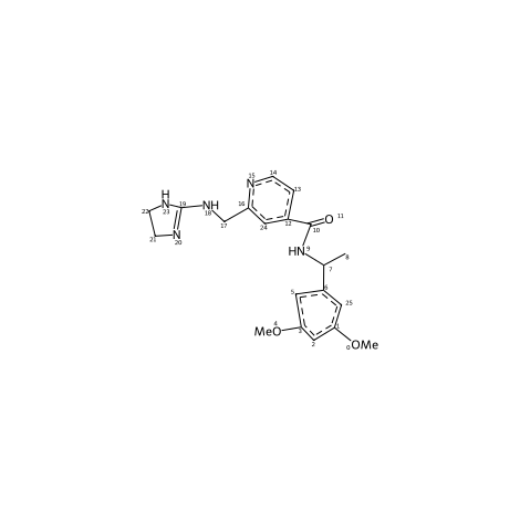 COc1cc(OC)cc(C(C)NC(=O)c2ccnc(CNC3=NCCN3)c2)c1